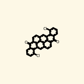 O=c1c2cccc(Cl)c2c2cc3ccc4c(=O)c5cccc(Cl)c5c5cc6ccc1c2c6c3c45